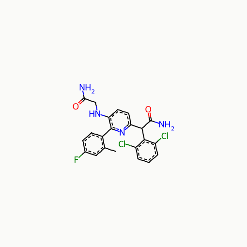 Cc1cc(F)ccc1-c1nc(C(C(N)=O)c2c(Cl)cccc2Cl)ccc1NCC(N)=O